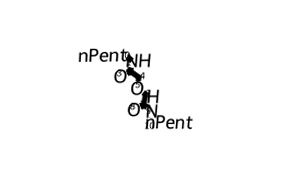 CCCCCNC(=O)COCC(=O)NCCCCC